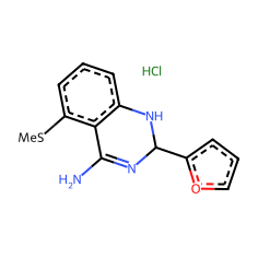 CSc1cccc2c1C(N)=NC(c1ccco1)N2.Cl